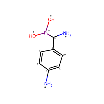 Nc1ccc(C(N)P(O)O)cc1